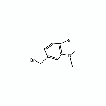 CN(C)c1cc(CBr)ccc1Br